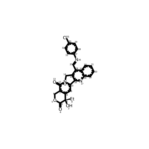 CC[C@@]1(O)C(=O)OCc2c1cc1n(c2=O)Cc2c-1nc1ccccc1c2C=Nc1ccc(Cl)cc1